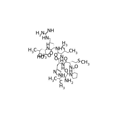 CC[C@H](C)[C@H](NC(=O)[C@H](Cc1c[nH]cn1)NC(=O)[C@H](CCSC)NC(=O)[C@@H]1CCCN1C(=O)[C@@H](N)CC(C)C)C(=O)N[C@@H](CCCNC(=N)N)C(=O)N[C@@H](CC(C)C)C(=O)O